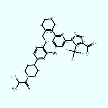 Cc1cc(C2CCN(C(=O)C(C)C)CC2)ccc1OCC1=C(c2cccc(-n3ncc(C(=O)O)c3C(F)(F)F)n2)CCCC1